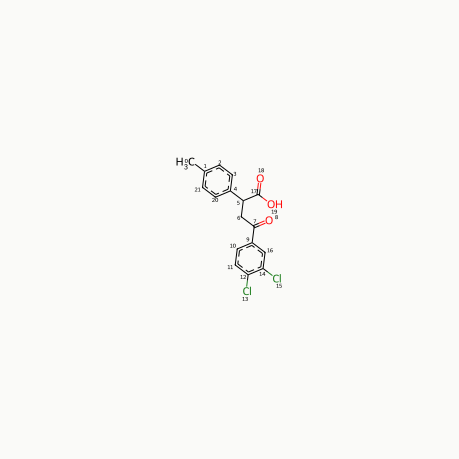 Cc1ccc(C(CC(=O)c2ccc(Cl)c(Cl)c2)C(=O)O)cc1